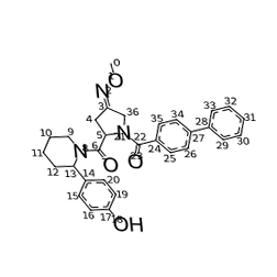 CON=C1CC(C(=O)N2CCCCC2c2ccc(O)cc2)N(C(=O)c2ccc(-c3ccccc3)cc2)C1